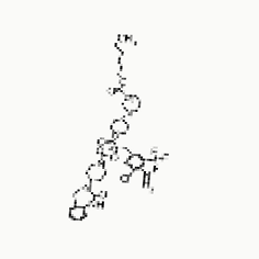 CCCCCCOC(=O)[C@H]1CCCN(C2CCN(C(=O)[C@@H](Cc3cc(Cl)c(N)c(C(F)(F)F)c3)OC(=O)N3CCC(N4CCc5ccccc5NC4=O)CC3)CC2)C1